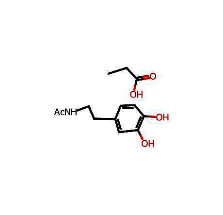 CC(=O)NCCc1ccc(O)c(O)c1.CCC(=O)O